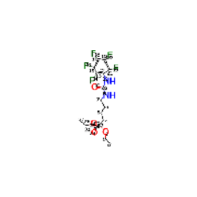 CCO[Si](CCCCNC(=O)Nc1c(F)c(F)c(F)c(F)c1F)(OC)OCC